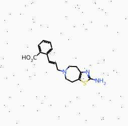 Nc1nc2c(s1)CCN(C/C=C/c1ccccc1C(=O)O)CC2